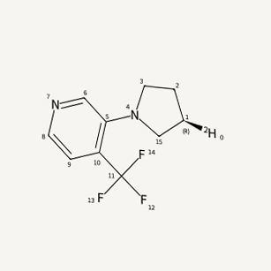 [2H][C@@H]1CCN(c2cnccc2C(F)(F)F)C1